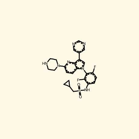 O=S(=O)(CC1CC1)Nc1ccc(F)c(-n2cc(-c3cncnc3)c3nc(N4CCNCC4)ccc32)c1F